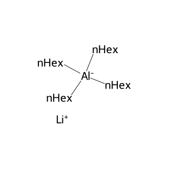 CCCCC[CH2][Al-]([CH2]CCCCC)([CH2]CCCCC)[CH2]CCCCC.[Li+]